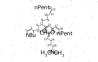 CCCC/C=C\CC(C)CC(CCC/C=C\CCCCC)C(CC/C=C\CCCCC)OC(=O)CCCCN(C)C